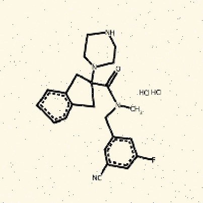 CN(Cc1cc(F)cc(C#N)c1)C(=O)C1(N2CCNCC2)Cc2ccccc2C1.Cl.Cl